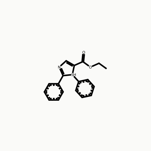 CCOC(=O)C1=CN=C(c2ccccc2)[SH]1c1ccccc1